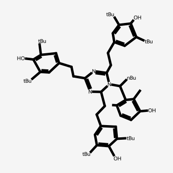 CCCCC(c1c(C)ccc(O)c1C)N1C(CCc2cc(C(C)(C)C)c(O)c(C(C)(C)C)c2)=NC(CCc2cc(C(C)(C)C)c(O)c(C(C)(C)C)c2)=NC1CCc1cc(C(C)(C)C)c(O)c(C(C)(C)C)c1